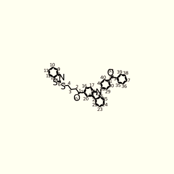 O=C(CCCSc1nc2ccccc2s1)c1ccc2c(c1)c1ccccc1n2-c1ccc(C(=O)c2ccccc2)cc1